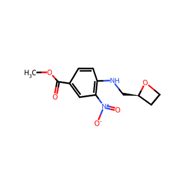 COC(=O)c1ccc(NC[C@@H]2CCO2)c([N+](=O)[O-])c1